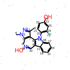 Cc1nn(C)c(C)c1-c1c(C=NO)c2ccccc2n1-c1ccc(O)cc1F